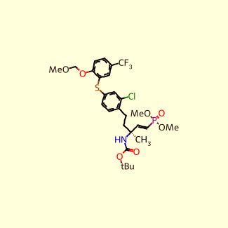 COCOc1ccc(C(F)(F)F)cc1Sc1ccc(CC[C@@](C)(/C=C/P(=O)(OC)OC)NC(=O)OC(C)(C)C)c(Cl)c1